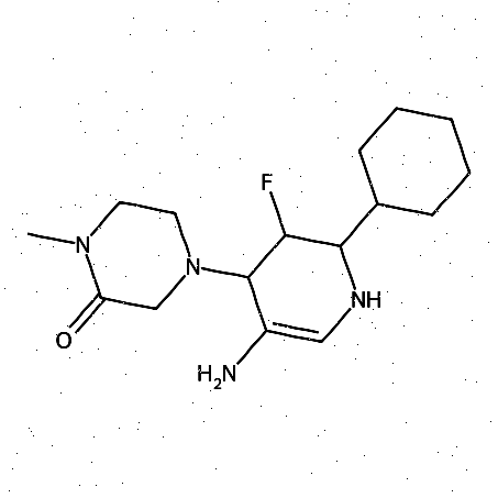 CN1CCN(C2C(N)=CNC(C3CCCCC3)C2F)CC1=O